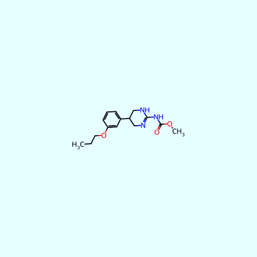 CCCOc1cccc(C2CN=C(NC(=O)OC)NC2)c1